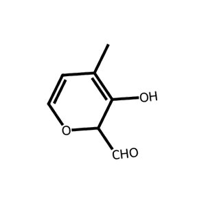 CC1=C(O)C(C=O)OC=C1